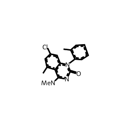 CNc1nc(=O)n(-c2ccccc2C)c2cc(Cl)cc(C)c12